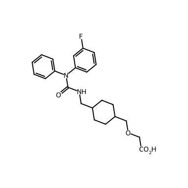 O=C(O)COCC1CCC(CNC(=O)N(c2ccccc2)c2cccc(F)c2)CC1